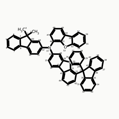 CC1(C)c2ccccc2-c2ccc(N(c3ccc4c(c3)oc3c(C5(c6ccccc6)c6ccccc6-c6ccccc65)cccc34)c3cccc4c3oc3ccccc34)cc21